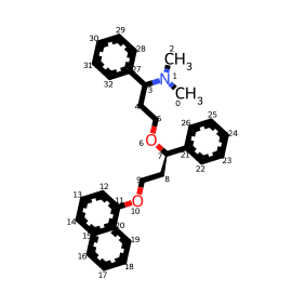 CN(C)C(CCO[C@H](CCOc1cccc2ccccc12)c1ccccc1)c1ccccc1